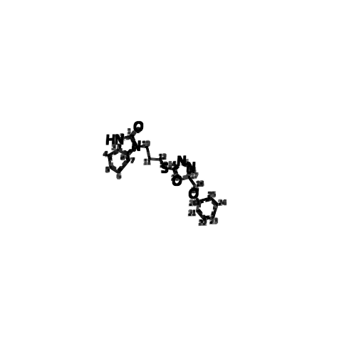 O=c1[nH]c2ccccc2n1CCCSc1nnc(COc2ccccc2)o1